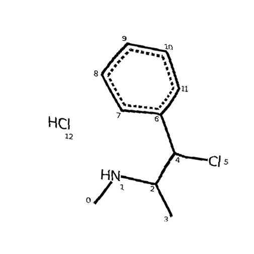 CNC(C)C(Cl)c1ccccc1.Cl